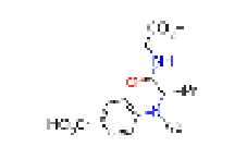 CC(=O)N(c1ccc(C(=O)O)cc1)C(C(=O)NCC(=O)O)C(C)C